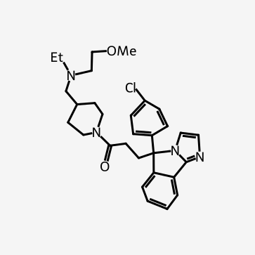 CCN(CCOC)CC1CCN(C(=O)CCC2(c3ccc(Cl)cc3)c3ccccc3-c3nccn32)CC1